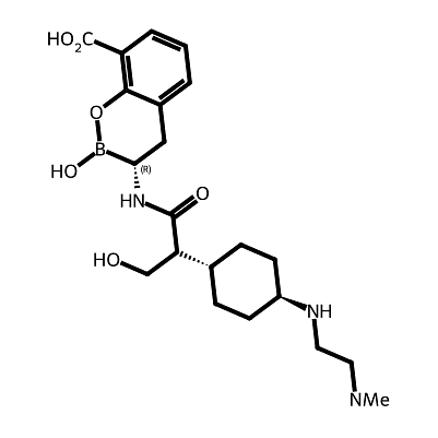 CNCCN[C@H]1CC[C@H](C(CO)C(=O)N[C@H]2Cc3cccc(C(=O)O)c3OB2O)CC1